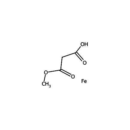 COC(=O)CC(=O)O.[Fe]